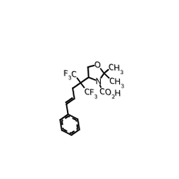 CC1(C)OCC(C(CC=Cc2ccccc2)(C(F)(F)F)C(F)(F)F)N1C(=O)O